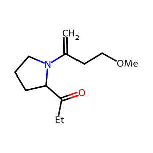 C=C(CCOC)N1CCCC1C(=O)CC